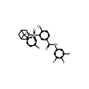 O=C(Nc1cc(F)c(F)c(F)c1)c1ccc(Cl)c(S(=O)(=O)C2CC3CC(C2)C3(O)c2ccc(F)cn2)c1